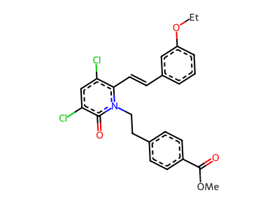 CCOc1cccc(/C=C/c2c(Cl)cc(Cl)c(=O)n2CCc2ccc(C(=O)OC)cc2)c1